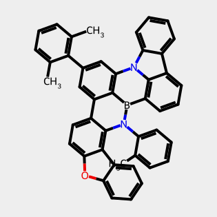 Cc1ccccc1N1B2c3c(cc(-c4c(C)cccc4C)cc3-n3c4ccccc4c4cccc2c43)-c2ccc3oc4ccccc4c3c21